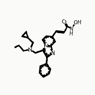 CCCN(Cc1c(-c2ccccc2)nc2cc(C=CC(=O)NO)ccn12)CC1CC1